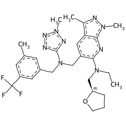 CCN(C[C@H]1CCCO1)c1nc2c(cc1CN(Cc1cc(C)cc(C(F)(F)F)c1)c1nnn(C)n1)c(C)nn2C